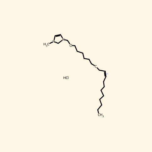 CCCCCCCC/C=C\CCCCCCCCOCN1C=CN(C)C1.Cl